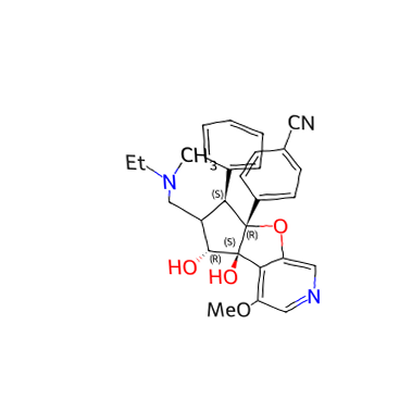 CCN(C)CC1[C@@H](O)[C@@]2(O)c3c(OC)cncc3O[C@@]2(c2ccc(C#N)cc2)[C@@H]1c1ccccc1